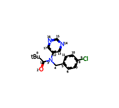 CC(C)(C)C(=O)N(Cc1ccc(Cl)cc1)c1cncnc1